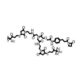 CC(=O)C1(C(=O)CCSC2CC(=O)N(CCNC(=O)CN(CC(=O)NCCN3C(=O)CC(SCCC(=O)C(C(C)=O)(C(C)=O)C(C)=O)C3=O)C(=O)COCC(=O)Nc3ccc(CCC(=O)N4CCC4=O)cc3)C2=O)SS1